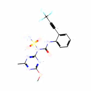 COc1nc(C)nc(N(C(=O)Nc2ccccc2C#CC(F)(F)F)S(N)(=O)=O)n1